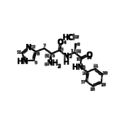 C[C@H](NC(=O)[C@@H](N)Cc1c[nH]cn1)C(=O)Nc1ccccc1.Cl